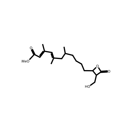 COC(=O)C=C(C)C=C(C)CC(C)CCCCC1OC(=O)C1CO